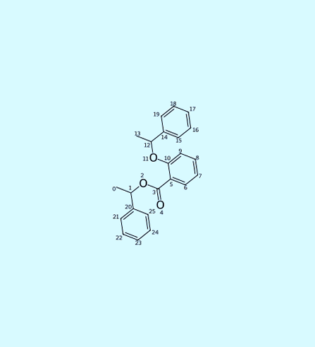 CC(OC(=O)c1ccccc1OC(C)c1ccccc1)c1ccccc1